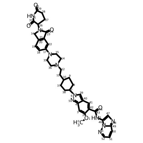 COc1cc2nn(C3CCC(CCN4CCN(c5ccc6c(c5)C(=O)N(C5CCC(=O)NC5=O)C6)CC4)CC3)cc2cc1C(=O)Nc1cnc2cccnn12